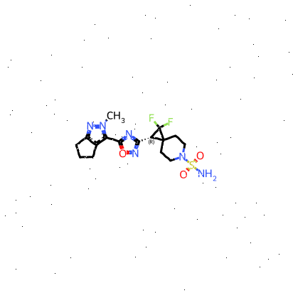 Cn1nc2c(c1-c1nc([C@@H]3C(F)(F)C34CCN(S(N)(=O)=O)CC4)no1)CCC2